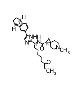 CCC(=O)CCCCC[C@H](NC(=O)[C@H]1CC12CCN(C)CC2)c1ncc(-c2ccc3c(c2)[C@H]2CC[C@@H]3C2)[nH]1